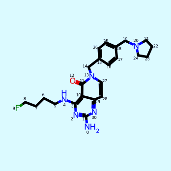 Nc1nc(NCCCCF)c2c(=O)n(Cc3ccc(CN4CCCC4)cc3)ccc2n1